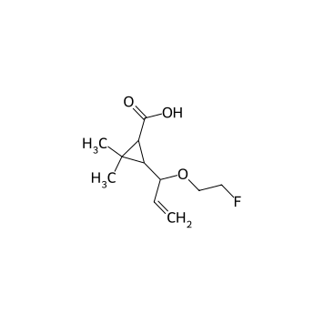 C=CC(OCCF)C1C(C(=O)O)C1(C)C